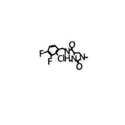 CN1CC(C(=O)NCc2ccc(F)c(F)c2Cl)N(C)C1=O